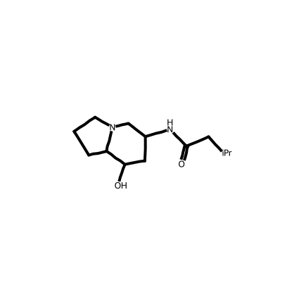 CC(C)CC(=O)NC1CC(O)C2CCCN2C1